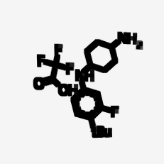 CC(C)(C)c1ccc(NC2CCC(N)CC2)cc1F.O=C(O)C(F)(F)F